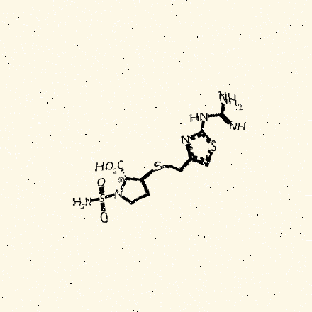 N=C(N)Nc1nc(CSC2CCN(S(N)(=O)=O)[C@@H]2C(=O)O)cs1